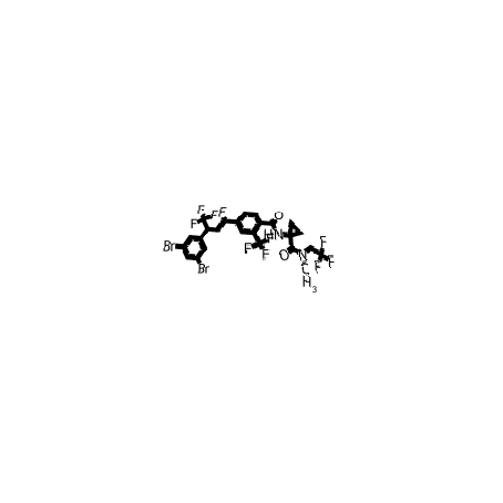 CN(CC(F)(F)F)C(=O)C1(NC(=O)c2ccc(/C(F)=C/C(c3cc(Br)cc(Br)c3)C(F)(F)F)cc2C(F)(F)F)CC1